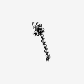 CC1(C)O[C@@H]2[C@@H](NC(=O)C(F)(F)F)[C@@H]3OC[C@](COCCOCCOCCOCCN=[N+]=[N-])(O3)[C@@H]2O1